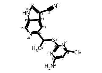 CC(Sc1nc(N)cc(Cl)n1)c1cc2c(C#N)c[nH]c2cn1